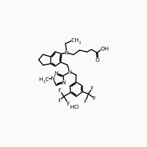 CCN(CCCCC(=O)O)c1cc2c(cc1CN(Cc1cc(C(F)(F)F)cc(C(F)(F)F)c1)c1ncn(C)n1)CCC2.Cl